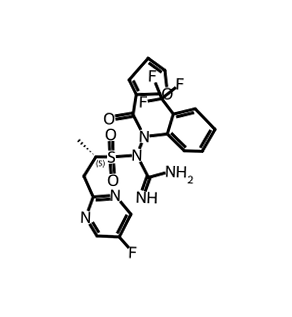 C[C@@H](Cc1ncc(F)cn1)S(=O)(=O)N(C(=N)N)N(C(=O)c1ccco1)c1ccccc1C(F)(F)F